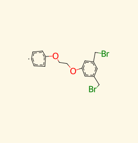 BrCc1cc(CBr)cc(OCCOc2cc[c]cc2)c1